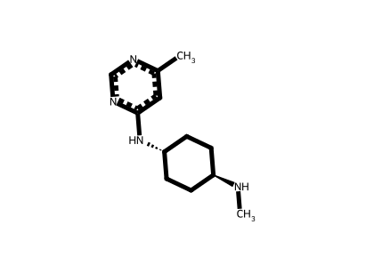 CN[C@H]1CC[C@H](Nc2cc(C)ncn2)CC1